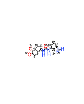 COc1ccc2c(c1OC)CC[C@H]2NC(=O)Nc1cccc2[nH]ncc12